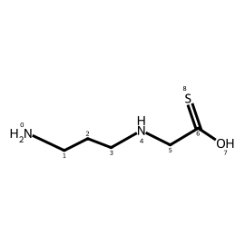 NCCCNCC(O)=S